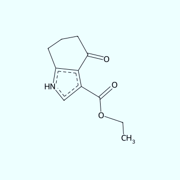 CCOC(=O)c1c[nH]c2c1C(=O)CCC2